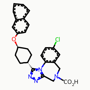 O=C(O)N1Cc2cc(Cl)ccc2-n2c(nnc2[C@H]2CC[C@H](Oc3ccc4ccccc4c3)CC2)C1